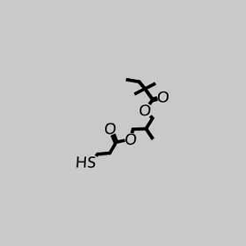 CCC(C)(C)C(=O)OCC(C)COC(=O)CCS